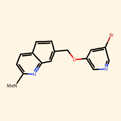 CNc1ccc2ccc(COc3cncc(Br)c3)cc2n1